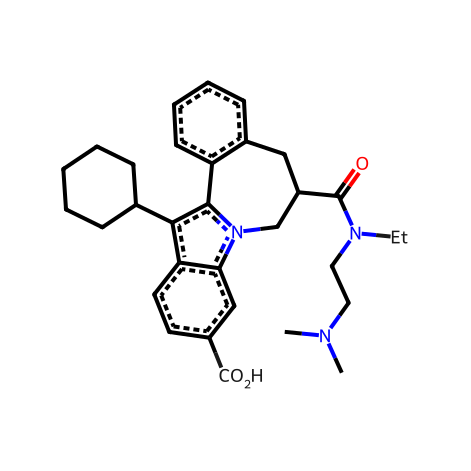 CCN(CCN(C)C)C(=O)C1Cc2ccccc2-c2c(C3CCCCC3)c3ccc(C(=O)O)cc3n2C1